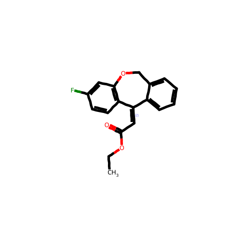 CCOC(=O)/C=C1/c2ccccc2COc2cc(F)ccc21